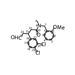 COc1ccccc1CN(C)C(=O)CC(CC=O)c1ccc(Cl)c(Cl)c1